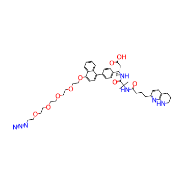 CC(C)(NC(=O)CCCc1ccc2c(n1)NCCC2)C(=O)N[C@@H](CC(=O)O)c1ccc(-c2ccc(OCCOCCOCCOCCOCCN=[N+]=[N-])c3ccccc23)cc1